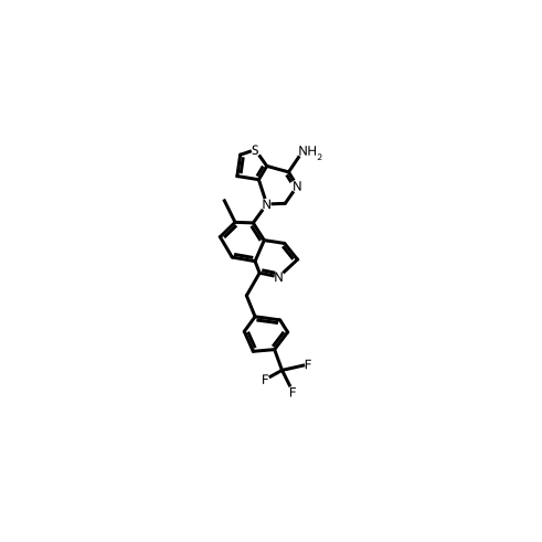 Cc1ccc2c(Cc3ccc(C(F)(F)F)cc3)nccc2c1N1CN=C(N)c2sccc21